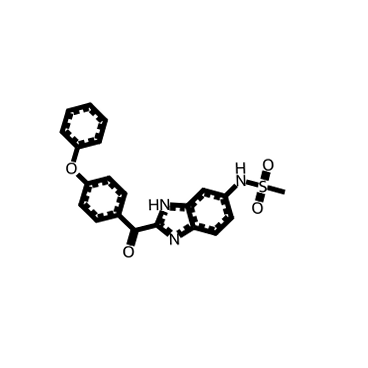 CS(=O)(=O)Nc1ccc2nc(C(=O)c3ccc(Oc4ccccc4)cc3)[nH]c2c1